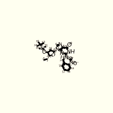 CC[C@H]1O[C@@H](n2cnc3c(=O)[nH]c(NCc4ccccc4[N+](=O)[O-])nc32)CC1O[Si](C)(C)C(C)(C)C